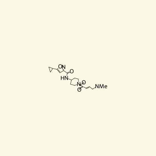 CNCC=CS(=O)(=O)N1CCC(NC(=O)c2cc(C3CC3)on2)CC1